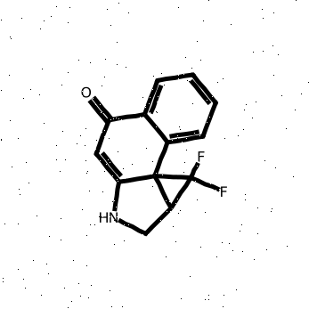 O=C1C=C2NCC3C(F)(F)C23c2ccccc21